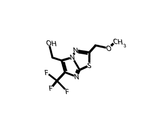 COCc1nn2c(CO)c(C(F)(F)F)nc2s1